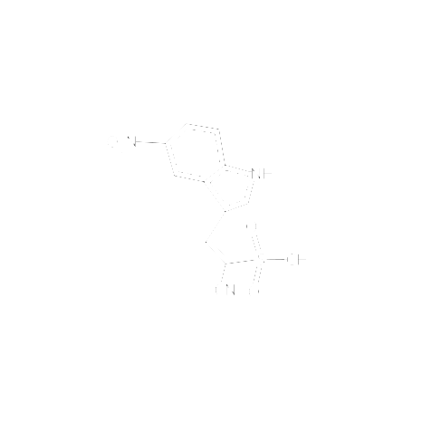 CS(=O)(=O)C(C#N)=Cc1c[nH]c2ccc([N+](=O)[O-])cc12